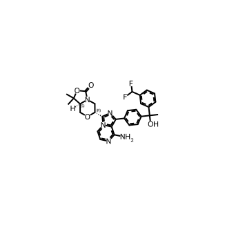 CC(O)(c1ccc(-c2nc([C@H]3CN4C(=O)OC(C)(C)[C@@H]4CO3)n3ccnc(N)c23)cc1)c1cccc(C(F)F)c1